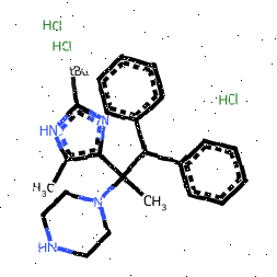 Cc1[nH]c(C(C)(C)C)nc1C(C)(C(c1ccccc1)c1ccccc1)N1CCNCC1.Cl.Cl.Cl